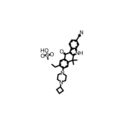 CCc1cc2c(cc1N1CCN(C3CCC3)CC1)C(C)(C)c1[nH]c3cc(C#N)ccc3c1C2=O.CS(=O)(=O)O